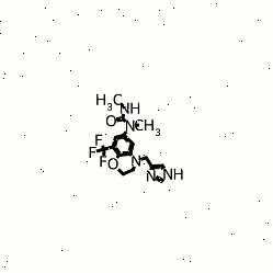 CNC(=O)N(C)c1cc2c(c(C(F)(F)F)c1)OCCN2Cc1c[nH]cn1